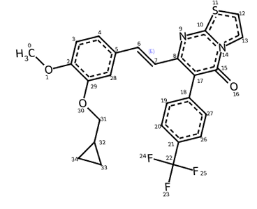 COc1ccc(/C=C/c2nc3sccn3c(=O)c2-c2ccc(C(F)(F)F)cc2)cc1OCC1CC1